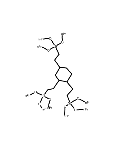 CCCO[Si](CCC1CCC(CC[Si](OCCC)(OCCC)OCCC)C(CC[Si](OCCC)(OCCC)OCCC)C1)(OCCC)OCCC